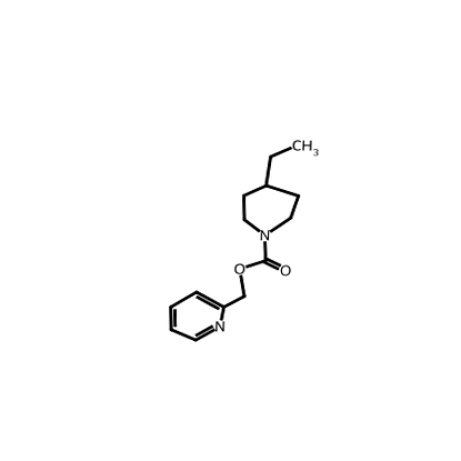 CCC1CCN(C(=O)OCc2ccccn2)CC1